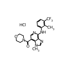 Cc1c(Nc2ncc(C(=O)N3CCOCC3)c3c2ncn3C)cccc1C(F)(F)F.Cl